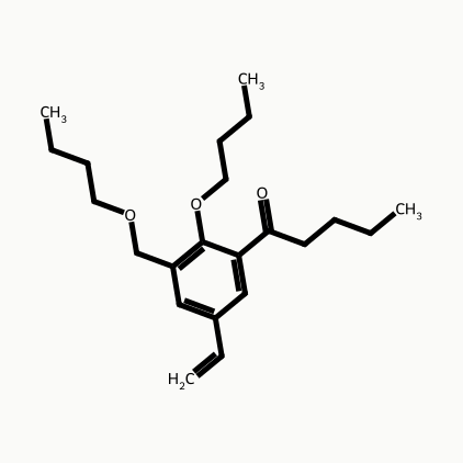 C=Cc1cc(COCCCC)c(OCCCC)c(C(=O)CCCC)c1